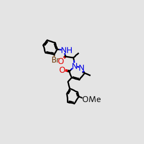 COc1cccc(Cc2cc(C)nn(C(C)C(=O)Nc3ccccc3Br)c2=O)c1